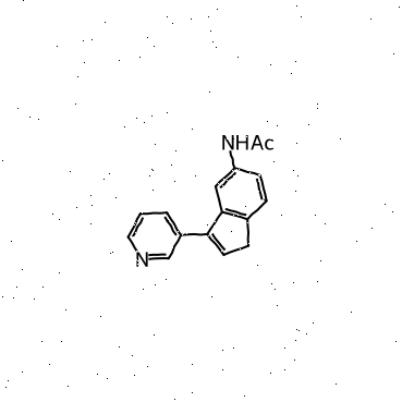 CC(=O)Nc1ccc2c(c1)C(c1cccnc1)=CC2